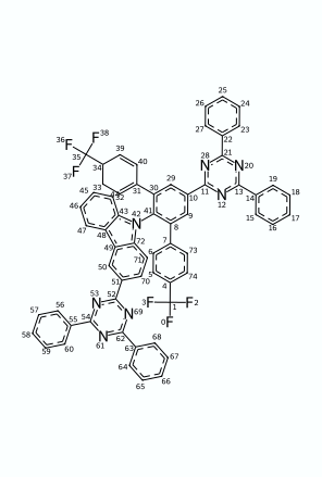 FC(F)(F)c1ccc(-c2cc(-c3nc(-c4ccccc4)nc(-c4ccccc4)n3)cc(C3=CCC(C(F)(F)F)C=C3)c2-n2c3ccccc3c3cc(-c4nc(-c5ccccc5)nc(-c5ccccc5)n4)ccc32)cc1